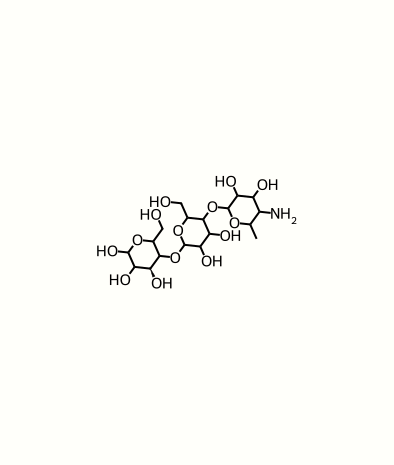 CC1OC(OC2C(CO)OC(OC3C(CO)OC(O)C(O)[C@@H]3O)C(O)C2O)C(O)C(O)C1N